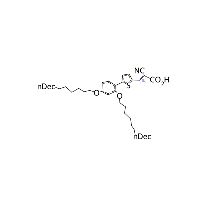 CCCCCCCCCCCCCCCCOc1ccc(-c2ccc(/C=C(\C#N)C(=O)O)s2)c(OCCCCCCCCCCCCCCCC)c1